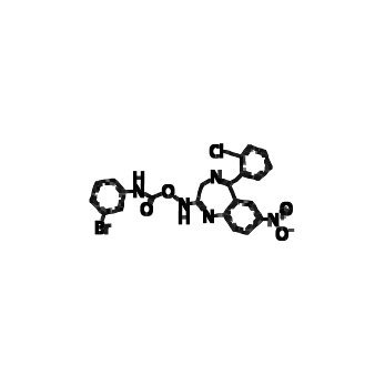 O=C(Nc1cccc(Br)c1)ONC1=Nc2ccc([N+](=O)[O-])cc2C(c2ccccc2Cl)=NC1